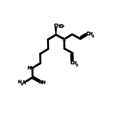 C=CCN(CC=C)[C@H]([C]=O)CCCCNC(=N)N